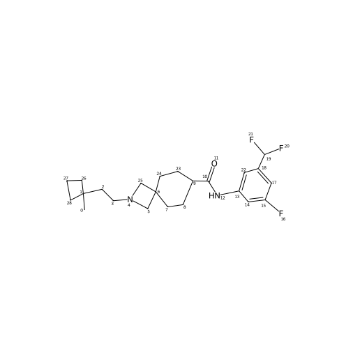 CC1(CCN2CC3(CCC(C(=O)Nc4cc(F)cc(C(F)F)c4)CC3)C2)CCC1